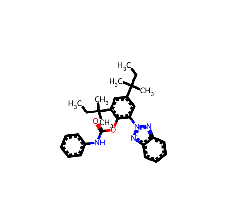 CCC(C)(C)c1cc(-n2nc3ccccc3n2)c(OC(=O)Nc2ccccc2)c(C(C)(C)CC)c1